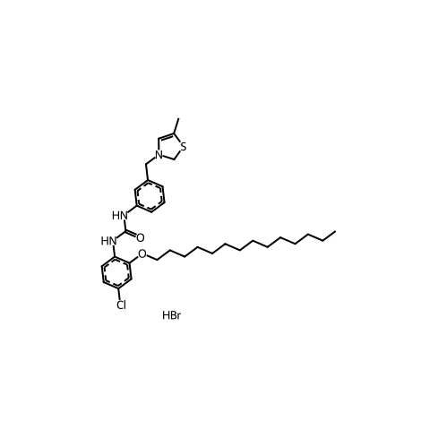 Br.CCCCCCCCCCCCCCOc1cc(Cl)ccc1NC(=O)Nc1cccc(CN2C=C(C)SC2)c1